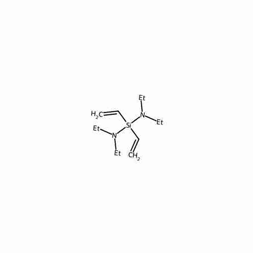 C=C[Si](C=C)(N(CC)CC)N(CC)CC